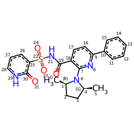 C[C@@H]1CC[C@H](C)N1c1nc(-c2ccccc2)ccc1C(=O)NS(=O)(=O)c1ccc[nH]c1=O